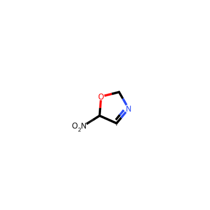 O=[N+]([O-])C1[C]=NCO1